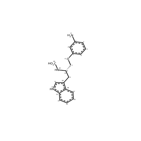 Nc1cccc(OC[C@H](Cc2c[nH]c3ccccc23)NC(=O)O)c1